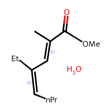 CCC/C=C(\C=C(/C)C(=O)OC)CC.O